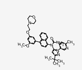 COc1cc(OCCN2CCOCC2)cc(-c2ccc(N(C(N)=O)c3cc(C(C)(C)C)nn3-c3ccc(C)nc3)c3ccccc23)c1